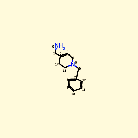 NCC1=CCN(Cc2ccccc2)CC1